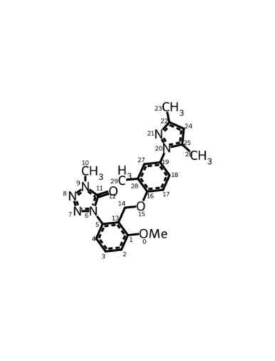 COc1cccc(-n2nnn(C)c2=O)c1COc1ccc(-n2nc(C)cc2C)cc1C